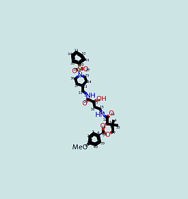 COc1ccc([C@@H]2OCC(C)(C)C(C(=O)NCCC(O)C(=O)NCC3CCN(S(=O)(=O)c4ccccc4)CC3)O2)cc1